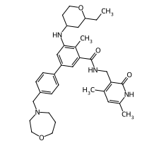 CCC1CC(Nc2cc(-c3ccc(CN4CCCOCC4)cc3)cc(C(=O)NCc3c(C)cc(C)[nH]c3=O)c2C)CCO1